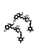 COc1ccc2ncc(CF)c(CCCC3(CO)CCN(CC#Cc4c(F)cc(F)cc4F)CC3)c2c1.COc1ccc2ncc(CF)c(CCCC3(CO)CCN(CC#Cc4cc(F)c(F)c(F)c4)CC3)c2c1